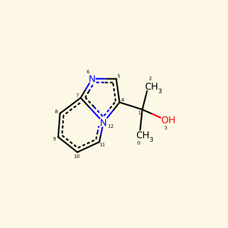 CC(C)(O)c1cnc2ccccn12